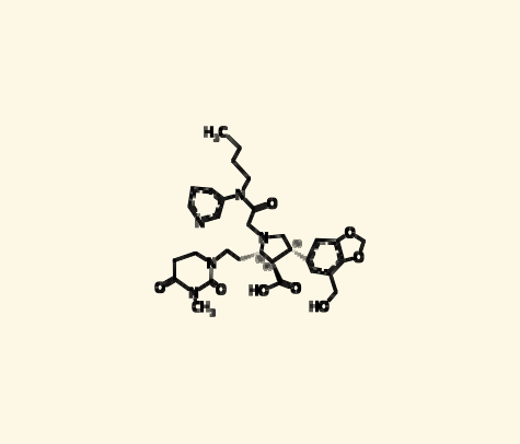 CCCCN(C(=O)CN1C[C@H](c2cc(CO)c3c(c2)OCO3)[C@@H](C(=O)O)[C@@H]1CCN1CCC(=O)N(C)C1=O)c1cccnc1